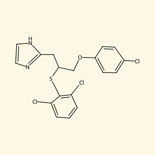 Clc1ccc(OCC(Cc2ncc[nH]2)Sc2c(Cl)cccc2Cl)cc1